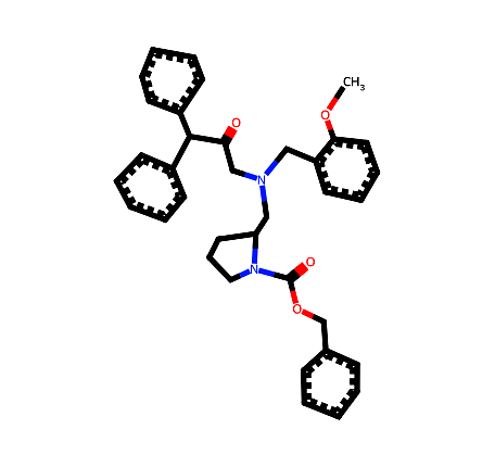 COc1ccccc1CN(CC(=O)C(c1ccccc1)c1ccccc1)CC1CCCN1C(=O)OCc1ccccc1